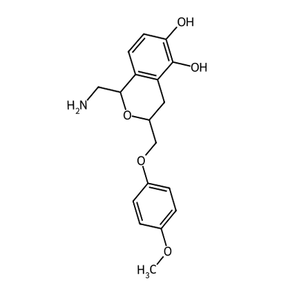 COc1ccc(OCC2Cc3c(ccc(O)c3O)C(CN)O2)cc1